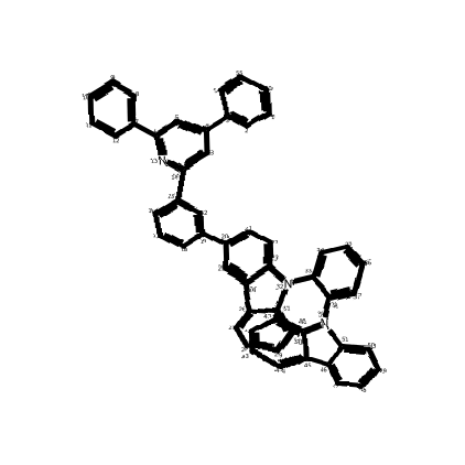 c1ccc(-c2cc(-c3ccccc3)nc(-c3cccc(-c4ccc5c(c4)c4ccccc4n5-c4ccccc4-n4c5ccccc5c5ccccc54)c3)c2)cc1